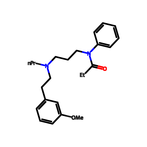 CCCN(CCCN(C(=O)CC)c1ccccc1)CCc1cccc(OC)c1